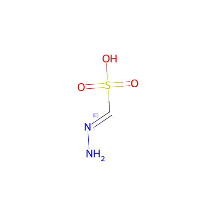 N/N=C/S(=O)(=O)O